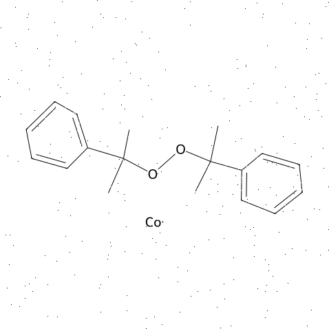 CC(C)(OOC(C)(C)c1ccccc1)c1ccccc1.[Co]